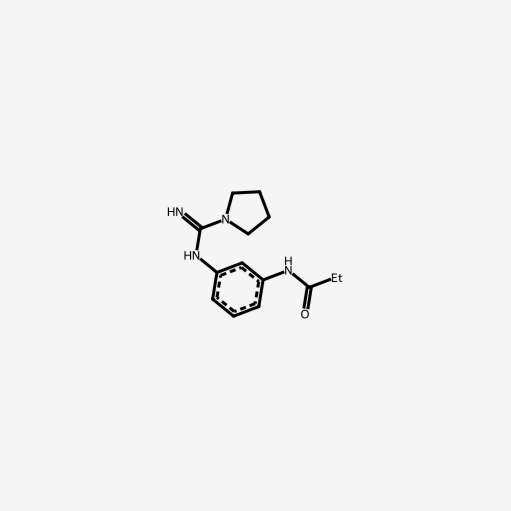 CCC(=O)Nc1cccc(NC(=N)N2CCCC2)c1